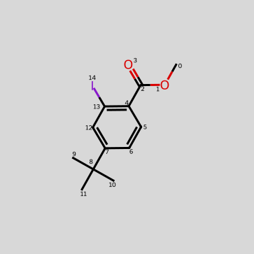 COC(=O)c1ccc(C(C)(C)C)cc1I